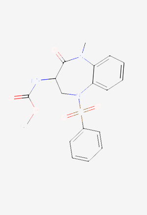 CN1C(=O)C(NC(=O)OC(C)(C)C)CN(S(=O)(=O)c2ccccc2)c2ccccc21